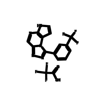 FC(F)(F)c1cccc(-c2nnc3cnc4[nH]ccc4n23)c1.O=C(O)C(F)(F)F